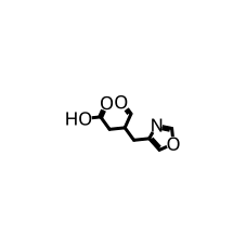 O=CC(CC(=O)O)Cc1cocn1